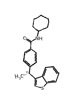 C[C@H](c1ccc(C(=O)NC2CCCCC2)cc1)c1csc2ccccc12